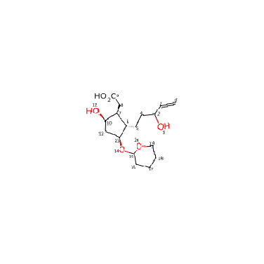 C=CC(O)CC[C@H]1[C@H](CC(=O)O)[C@H](O)C[C@@H]1OC1CCCCO1